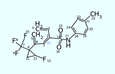 C=C/C(=C\C(=C)C1(C(F)(F)F)CC1F)S(=O)(=O)Nc1ccc(C)cc1